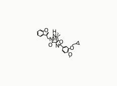 COc1ccc(-c2nc(C(=O)NCc3coc4ccccc34)c([C@H](C)N)o2)cc1OCC1CC1